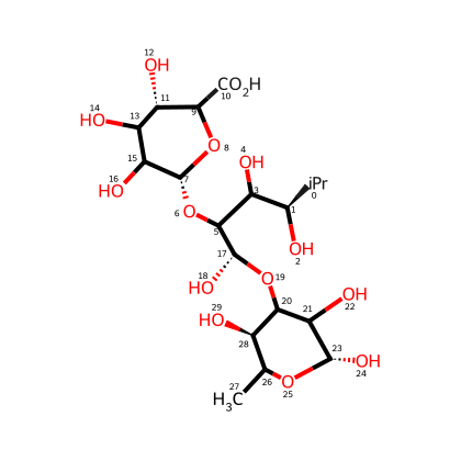 CC(C)[C@@H](O)C(O)C(O[C@H]1OC(C(=O)O)[C@@H](O)C(O)C1O)[C@@H](O)OC1C(O)[C@H](O)OC(C)[C@H]1O